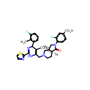 CCOC(=O)C1=C(CN2CC[C@@H]3C(=O)N(c4ccc(C(=O)O)cc4F)C[C@@H]3C2)NC(c2nccs2)=NC1c1cccc(F)c1C